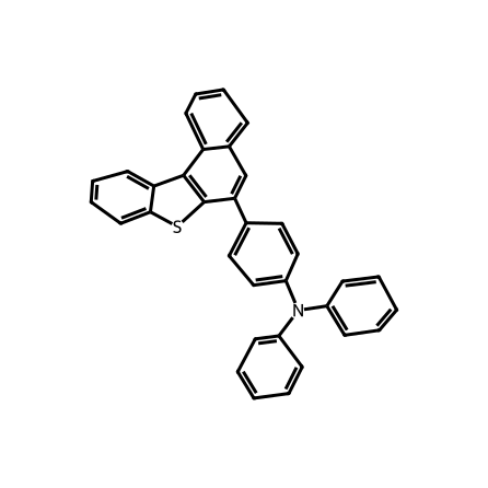 c1ccc(N(c2ccccc2)c2ccc(-c3cc4ccccc4c4c3sc3ccccc34)cc2)cc1